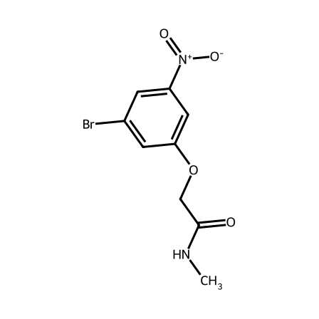 CNC(=O)COc1cc(Br)cc([N+](=O)[O-])c1